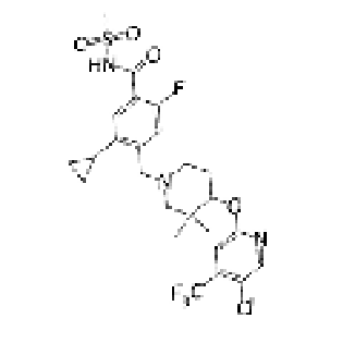 CC1(C)CN(Cc2cc(F)c(C(=O)NS(C)(=O)=O)cc2C2CC2)CCC1Oc1cc(C(F)(F)F)c(Cl)cn1